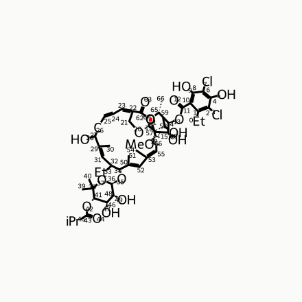 CCc1c(Cl)c(O)c(Cl)c(O)c1C(=O)O[C@H]1[C@H](O)[C@H](OC)[C@H](OC/C2=C\C=C\CC(O)/C(C)=C/C(CC)[C@@H](O[C@@H]3OC(C)(C)[C@@H](OC(=O)C(C)C)[C@H](O)[C@@H]3O)/C(C)=C/C(C)=C/C[C@@H](C(C)O)OC2=O)O[C@@H]1C